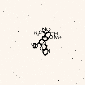 COc1cc2c(cc1-c1c(C)noc1C)cc(-n1ccnc1)c(=O)n2Cc1ccccn1